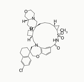 C[C@@]12C[C@H]1CCC[C@@]1(CN3CCOC[C@H]3CO1)[C@@H]1CC[C@H]1CN1C[C@@]3(CCCc4cc(Cl)ccc43)COc3ccc(cc31)C(=O)NS2(=O)=O